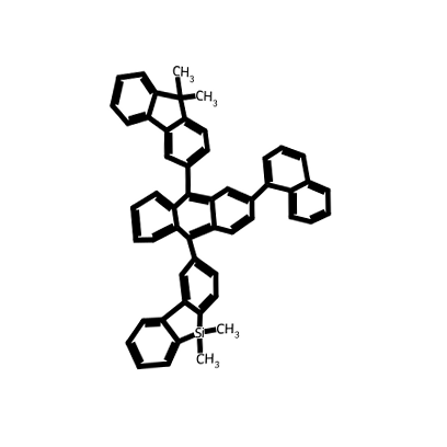 CC1(C)c2ccccc2-c2cc(-c3c4ccccc4c(-c4ccc5c(c4)-c4ccccc4[Si]5(C)C)c4ccc(-c5cccc6ccccc56)cc34)ccc21